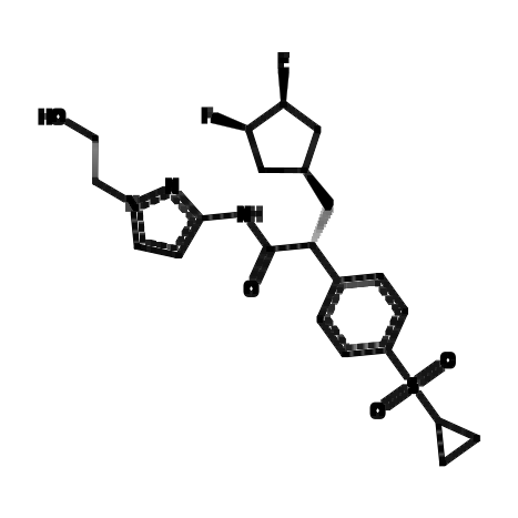 O=C(Nc1ccn(CCO)n1)[C@H](C[C@H]1C[C@@H](F)[C@@H](F)C1)c1ccc(S(=O)(=O)C2CC2)cc1